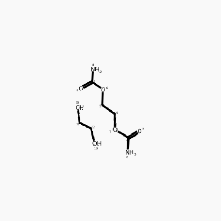 NC(=O)OCCOC(N)=O.OCCO